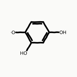 [O]c1ccc(O)cc1O